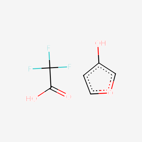 O=C(O)C(F)(F)F.Oc1ccoc1